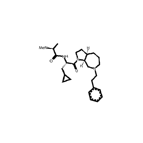 CN[C@@H](C)C(=O)N[C@@H](CC1CC1)C(=O)N1CC[C@H]2CCCN(CCc3ccccc3)C[C@H]21